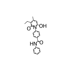 CCc1c(C)cc(O)n(-c2ccc(C(=O)Nc3ccccc3)cc2)c1=O